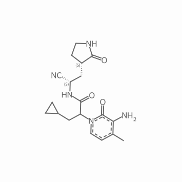 Cc1ccn(C(CC2CC2)C(=O)N[C@H](C#N)C[C@@H]2CCNC2=O)c(=O)c1N